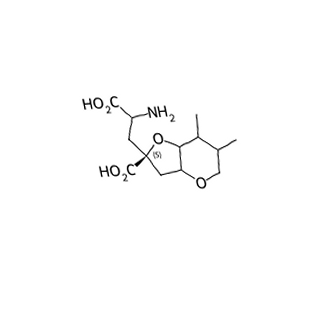 CC1COC2C[C@@](CC(N)C(=O)O)(C(=O)O)OC2C1C